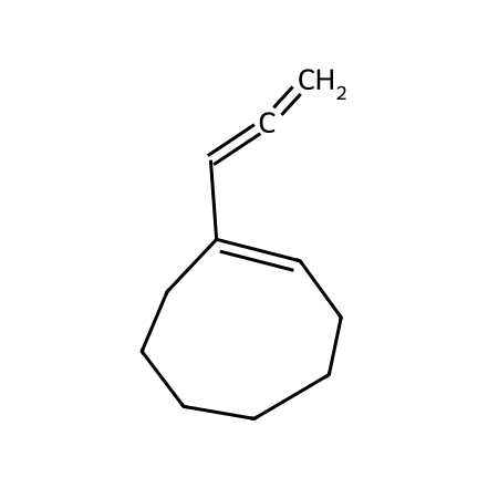 C=C=CC1=CCCCCCC1